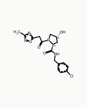 Cc1noc(CC(=O)N2C[C@H](O)C[C@H]2C(=O)NCc2ccc(Cl)cc2)n1